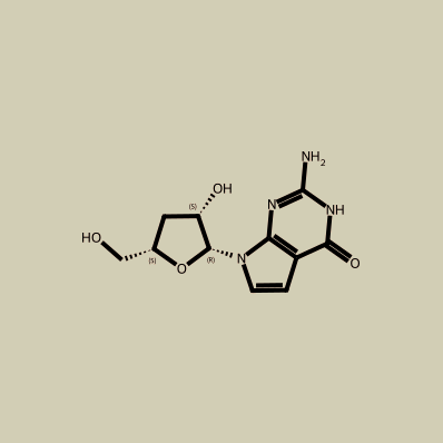 Nc1nc2c(ccn2[C@@H]2O[C@H](CO)C[C@@H]2O)c(=O)[nH]1